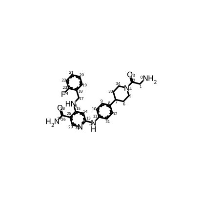 NCC(=O)N1CCC(c2ccc(Nc3cc(NCc4ccccc4F)c(C(N)=O)cn3)cc2)CC1